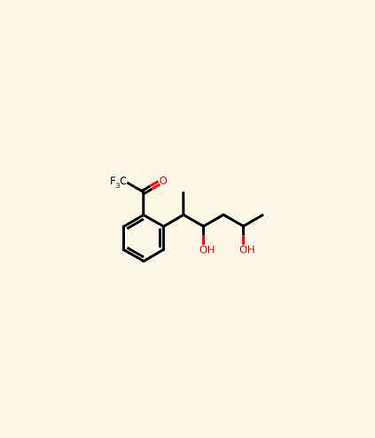 CC(O)CC(O)C(C)c1ccccc1C(=O)C(F)(F)F